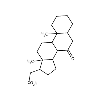 CC12CCC3C(C(=O)CC4CCCCC43C)C1CCC2CC(=O)O